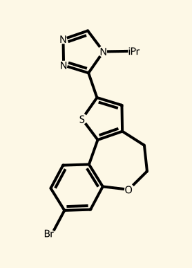 CC(C)n1cnnc1-c1cc2c(s1)-c1ccc(Br)cc1OCC2